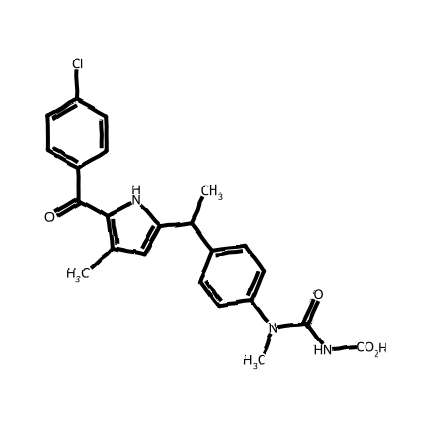 Cc1cc(C(C)c2ccc(N(C)C(=O)NC(=O)O)cc2)[nH]c1C(=O)c1ccc(Cl)cc1